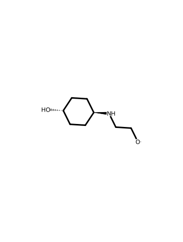 [O]CCN[C@H]1CC[C@H](O)CC1